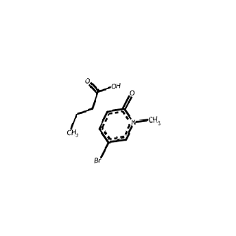 CCCC(=O)O.Cn1cc(Br)ccc1=O